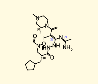 C=C(/C(F)=C(\N=C(\C)N)NNC(=O)[C@H](CC1CCCC1)CN(O)C=O)N1CCN(C)C[C@H]1C